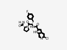 NC(=O)[C@H]1CCCN1C(=O)[C@H](Cc1ccc(F)cc1)NC(=O)c1cc2cc(Cl)ncc2[nH]1